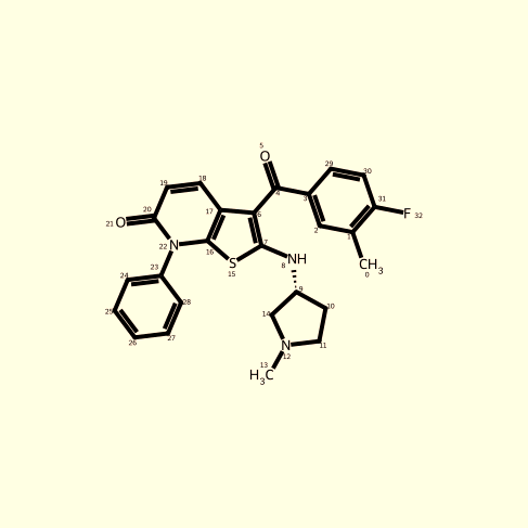 Cc1cc(C(=O)c2c(N[C@@H]3CCN(C)C3)sc3c2ccc(=O)n3-c2ccccc2)ccc1F